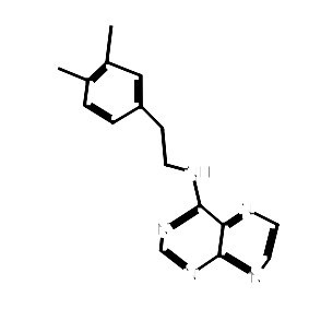 Cc1cc(CCNc2ncnc3nccnc23)ccc1O